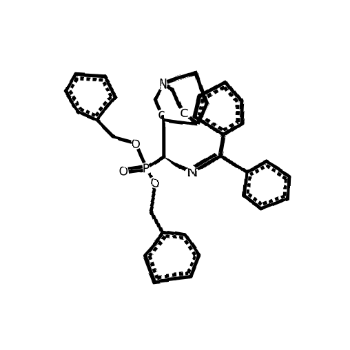 O=P(OCc1ccccc1)(OCc1ccccc1)[C@H](N=C(c1ccccc1)c1ccccc1)C1CCN2CCC1CC2